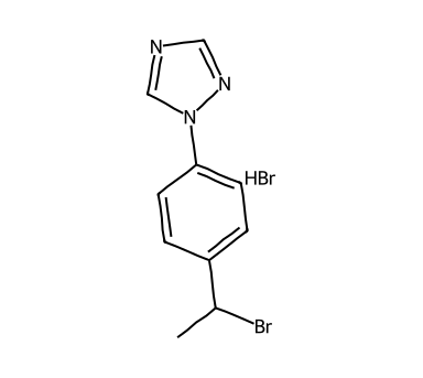 Br.CC(Br)c1ccc(-n2cncn2)cc1